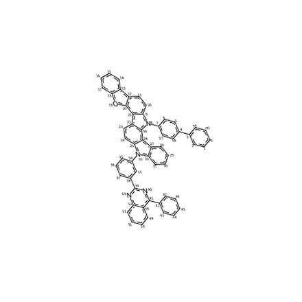 c1ccc(-c2ccc(-n3c4ccc5c6ccccc6oc5c4c4ccc5c(c6ccccc6n5-c5cccc(-c6nc(-c7ccccc7)c7ccccc7n6)c5)c43)cc2)cc1